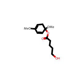 COC1=CCC(OC)(OC(=O)CCCCO)C=C1